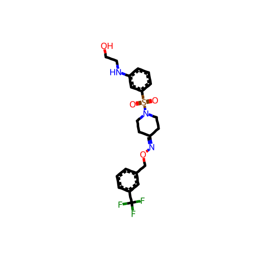 O=S(=O)(c1cccc(NCCO)c1)N1CCC(=NOCc2cccc(C(F)(F)F)c2)CC1